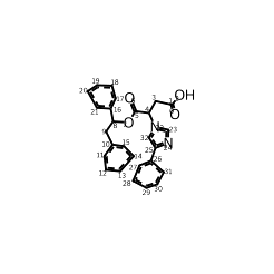 O=C(O)CC(C(=O)OC(Cc1ccccc1)c1ccccc1)n1cnc(-c2ccccc2)c1